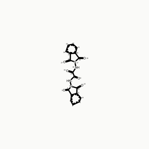 O=C(NN1C(=O)c2ccccc2C1=O)C(=O)NN1C(=O)c2ccccc2C1=O